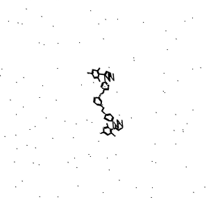 Cc1cc(C)c(-c2ccnn2-c2ccc(CCc3cccc(CCc4ccc(-n5nccc5-c5c(C)cc(C)cc5C)cc4)c3)cc2)c(C)c1